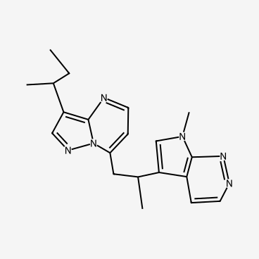 CCC(C)c1cnn2c(CC(C)c3cn(C)c4nnccc34)ccnc12